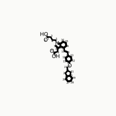 O=C(O)CCCn1cc(CC(=O)O)c2c(C=Cc3ccc(OCC4Cc5ccccc5C4)cc3)cccc21